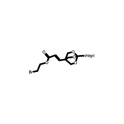 CCCCCCCC12OCC(C=CC(=O)OCCBr)(CO1)CO2